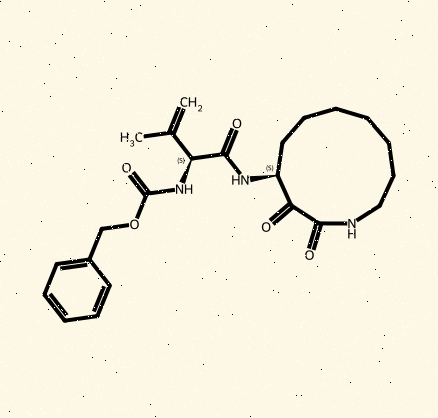 C=C(C)[C@H](NC(=O)OCc1ccccc1)C(=O)N[C@H]1CCCCCCCNC(=O)C1=O